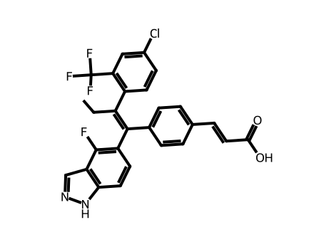 CCC(=C(c1ccc(C=CC(=O)O)cc1)c1ccc2[nH]ncc2c1F)c1ccc(Cl)cc1C(F)(F)F